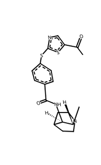 CC(=O)c1cnc(Sc2ccc(C(=O)N[C@@H]3C4CCN(CC4)[C@H]3C)cc2)s1